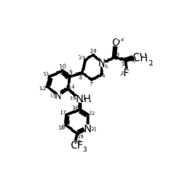 C=C(F)C(=O)N1CCC(c2cccnc2Nc2ccc(C(F)(F)F)nc2)CC1